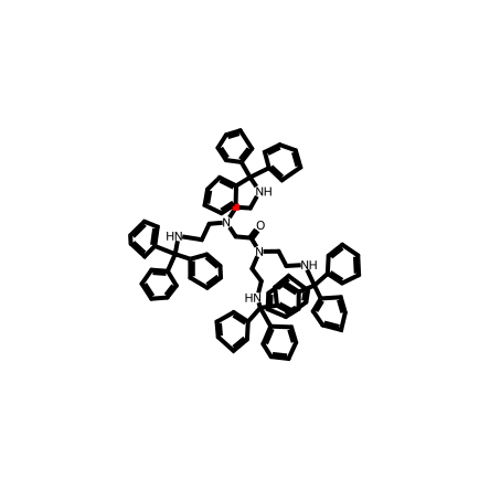 O=C(CN(CCNC(c1ccccc1)(c1ccccc1)c1ccccc1)CCNC(c1ccccc1)(c1ccccc1)c1ccccc1)N(CCNC(c1ccccc1)(c1ccccc1)c1ccccc1)CCNC(c1ccccc1)(c1ccccc1)c1ccccc1